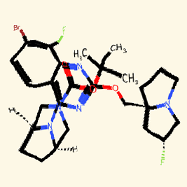 CC(C)(C)OC(=O)N1C[C@H]2CC[C@@H](C1)N2c1nc(OC[C@@]23CCCN2C[C@H](F)C3)nc2c(F)c(Br)ccc12